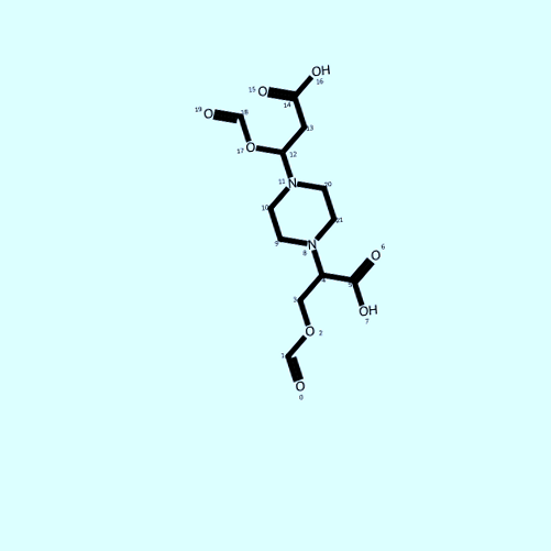 O=COCC(C(=O)O)N1CCN(C(CC(=O)O)OC=O)CC1